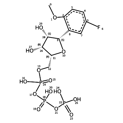 COc1ccc(F)cc1[C@@H]1O[C@H](COP(=O)(O)OP(=O)(O)OP(=O)(O)O)[C@H](O)[C@@H]1O